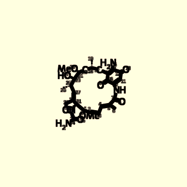 CO[C@H]1/C=C\C=C(/C)C(=O)NC2=CC(=O)C(N)=C(C[C@@H](C)C[C@H](OC)[C@H](O)[C@@H](C)/C=C(\CO)[C@@H]1OC(N)=O)C2=O